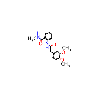 CNC(=O)c1ccccc1NC(=O)Cc1ccc(OC)c(OC)c1